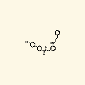 O=C(NCc1cccc(NCCCc2ccccc2)c1)c1ccc(-c2ccc(O)cc2)cc1